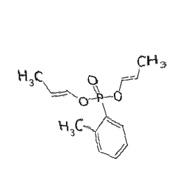 CC=COP(=O)(OC=CC)c1ccccc1C